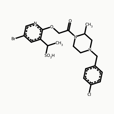 CC1CN(Cc2ccc(Cl)cc2)CCN1C(=O)COc1ncc(Br)cc1C(C)S(=O)(=O)O